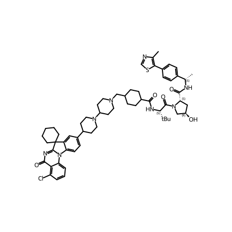 Cc1ncsc1-c1ccc([C@H](C)NC(=O)[C@@H]2C[C@@H](O)CN2C(=O)[C@@H](NC(=O)C2CCC(CN3CCC(N4CCC(c5ccc6c(c5)C5(CCCCC5)c5nc(=O)c7c(Cl)cccc7n5-6)CC4)CC3)CC2)C(C)(C)C)cc1